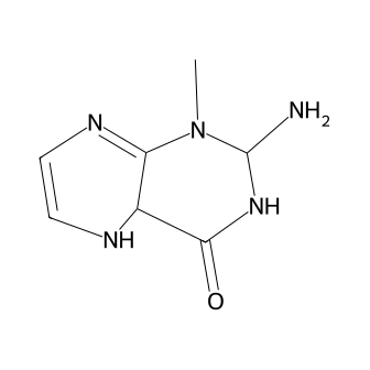 CN1C2=NC=CNC2C(=O)NC1N